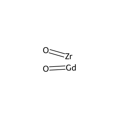 [O]=[Gd].[O]=[Zr]